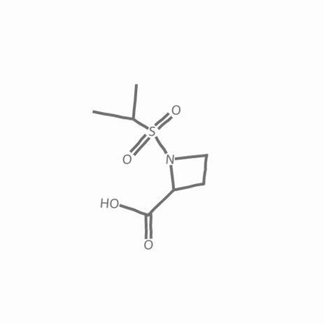 CC(C)S(=O)(=O)N1CCC1C(=O)O